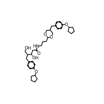 O=C(CC(O)C(CO)Cc1ccc(OC2CCCC2)cc1)NCCCC1OCC(Cc2ccc(OC3CCCC3)cc2)CO1